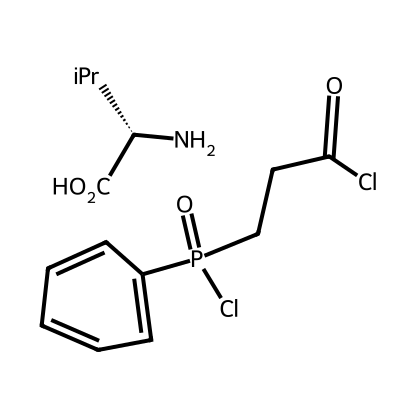 CC(C)[C@H](N)C(=O)O.O=C(Cl)CCP(=O)(Cl)c1ccccc1